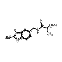 CON(C)C(=O)NCc1ccc2nc(C(C)(C)C)sc2c1